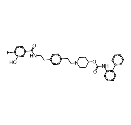 O=C(Nc1ccccc1-c1ccccc1)OC1CCN(CCc2ccc(CCNC(=O)c3ccc(F)c(O)c3)cc2)CC1